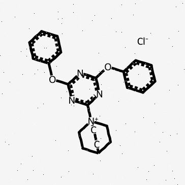 [Cl-].c1ccc(Oc2nc(Oc3ccccc3)nc([N+]34CCC(CC3)CC4)n2)cc1